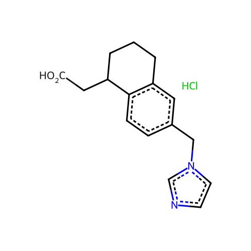 Cl.O=C(O)CC1CCCc2cc(Cn3ccnc3)ccc21